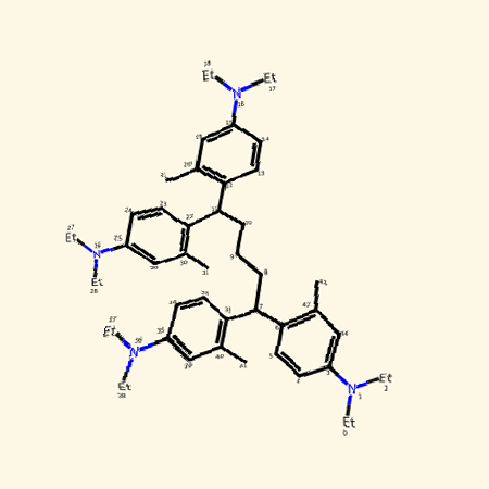 CCN(CC)c1ccc(C(CCCC(c2ccc(N(CC)CC)cc2C)c2ccc(N(CC)CC)cc2C)c2ccc(N(CC)CC)cc2C)c(C)c1